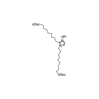 CCCCCCCCCCCCCCCCCCC[n+]1ccn(CCC)c1CCCCCCCCCCCCCCCCCC